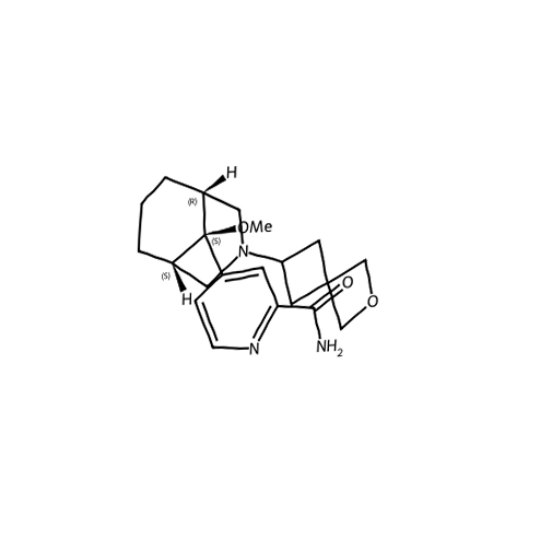 CO[C@]1(c2ccnc(C(N)=O)c2)[C@@H]2CCC[C@H]1CN(C1CC3(COC3)C1)C2